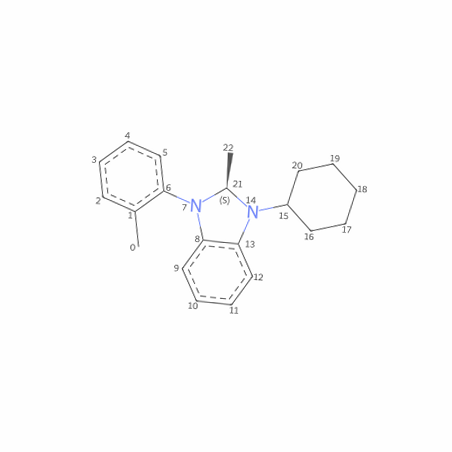 Cc1ccccc1N1c2ccccc2N(C2CCCCC2)[C@@H]1C